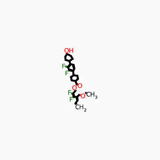 C=C/C=C(COCC)\C(F)=C(\F)COC(=O)C1CCC(c2ccc(C3CCC(O)CC3)c(F)c2F)CC1